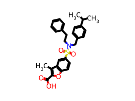 Cc1c(C(=O)O)oc2ccc(S(=O)(=O)N(CCc3ccccc3)Cc3ccc(C(C)C)cc3)cc12